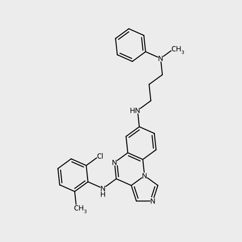 Cc1cccc(Cl)c1Nc1nc2cc(NCCCN(C)c3ccccc3)ccc2n2cncc12